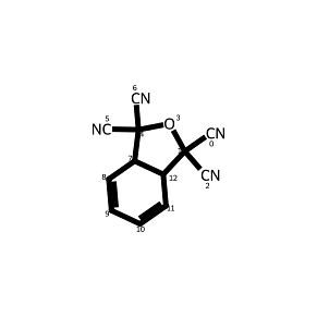 N#CC1(C#N)OC(C#N)(C#N)C2C=CC=CC21